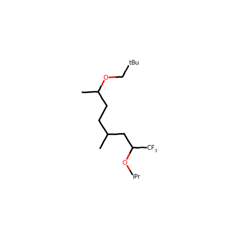 CC(CCC(C)OCC(C)(C)C)CC(OC(C)C)C(F)(F)F